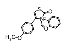 COc1ccc(C2=CSC(=O)[N+]2(C=O)c2ccccc2)cc1